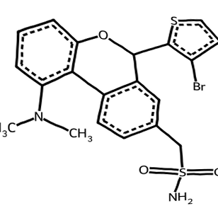 CN(C)c1cccc2c1-c1ccc(CS(N)(=O)=O)cc1C(c1sccc1Br)O2